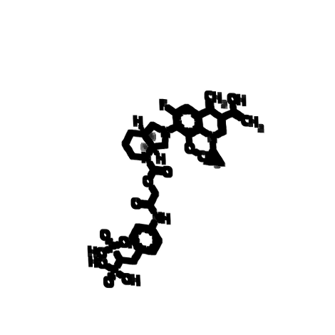 C=C(O)C1=CN(C2CC2)c2c(cc(F)c(N3C[C@@H]4CCCN(C(=O)OCC(=O)Nc5ccc(CC(P(=O)(O)O)P(=O)(O)O)cc5)[C@@H]4C3)c2OC)C1=C